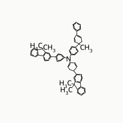 CC1(c2ccc(N(C3=CCC(c4ccc5c(c4)C(C)(C)c4ccccc4-5)C=C3)c3ccc(-c4ccc5c(c4)C(C)(C)c4ccccc4-5)cc3)cc2)C=CC(c2ccccc2)=CC1